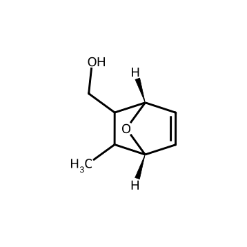 CC1C(CO)[C@@H]2C=C[C@H]1O2